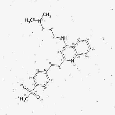 CN(C)CCCNc1nc(C=Cc2ccc(S(C)(=O)=O)cc2)nc2ccccc12